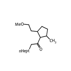 CCCCCCCCC(=O)C1C(C)CCC1CCOC